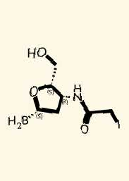 B[C@H]1C[C@@H](NC(=O)CI)[C@@H](CO)O1